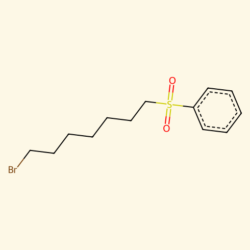 O=S(=O)(CCCCCCCBr)c1ccccc1